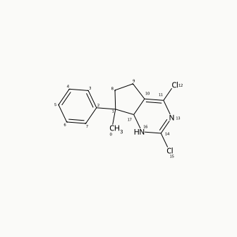 CC1(c2ccccc2)CCC2=C(Cl)N=C(Cl)NC21